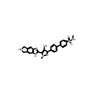 CNS(=O)(=O)c1ccc(-c2ccc(-c3nn(C)c(-c4nc5cc6c(cc5[nH]4)CNC6)c3O)cc2)cc1